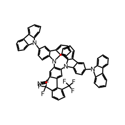 N#Cc1cc(-n2c3ccccc3c3cc(-n4c5ccccc5c5ccccc54)ccc32)c(-n2c3ccccc3c3cc(-n4c5ccccc5c5ccccc54)ccc32)cc1-c1c(C(F)(F)F)cccc1C(F)(F)F